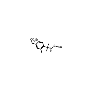 CCOC(=O)Cc1ccc(C(C)(C)NSC(C)(C)C)c(C)c1